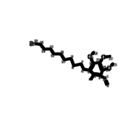 C=Bc1c(C)c(CCCCCCCCCCBr)c(OC)c(OC)c1OC